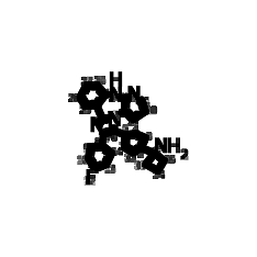 NC1(c2ccc(-c3c(-c4ccc(F)cc4)nc4n3-c3cccnc3Nc3ccccc3-4)cc2)CCC1